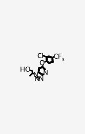 CC(CO)n1nnc2ncc(Oc3ccc(C(F)(F)F)cc3Cl)cc21